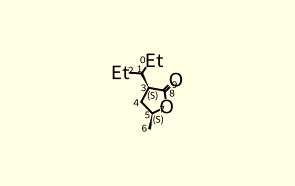 CCC(CC)[C@@H]1C[C@H](C)OC1=O